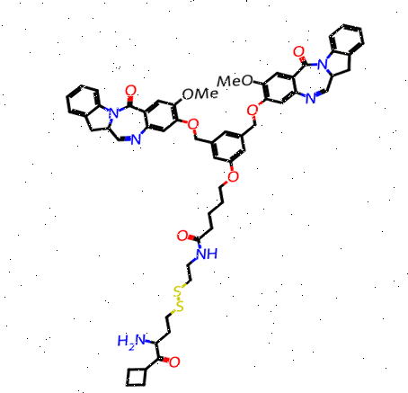 COc1cc2c(cc1OCc1cc(COc3cc4c(cc3OC)C(=O)N3c5ccccc5CC3C=N4)cc(OCCCCC(=O)NCCSSCCC(N)C(=O)C3CCC3)c1)N=CC1Cc3ccccc3N1C2=O